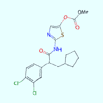 COC(=O)Oc1cnc(NC(=O)C(CC2CCCC2)c2ccc(Cl)c(Cl)c2)s1